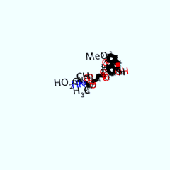 COc1ccc2c3c1O[C@H]1C(OC(=O)CCC(=O)O[C@@H](C)C(=O)N[C@@H](C)C(=O)O)=CC[C@@]4(O)[C@H](CCC[C@]314)C2